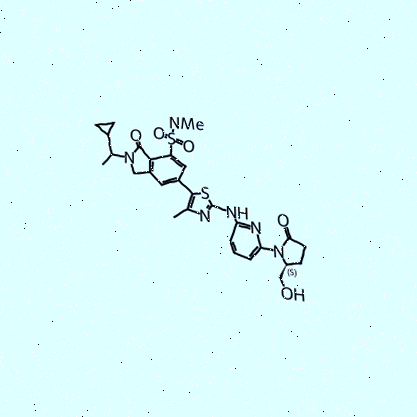 CNS(=O)(=O)c1cc(-c2sc(Nc3cccc(N4C(=O)CC[C@H]4CO)n3)nc2C)cc2c1C(=O)N(C(C)C1CC1)C2